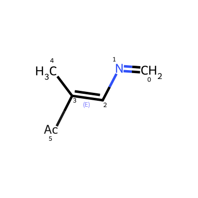 C=N/C=C(\C)C(C)=O